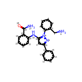 NCc1ccccc1-n1nc(-c2ccccc2)cc1Nc1ccccc1C(N)=O